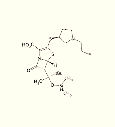 C[SiH](C)O[C@@](C)([C@@H]1C(=O)N2C(C(=O)O)=C(S[C@H]3CCN(CCF)C3)S[C@H]12)C(C)(C)C